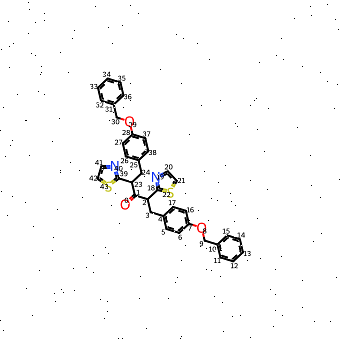 O=C(C(Cc1ccc(OCc2ccccc2)cc1)c1nccs1)C(Cc1ccc(OCc2ccccc2)cc1)c1nccs1